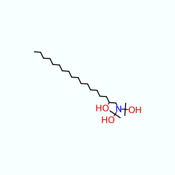 CCCCCCCCCCCCCCCCC(O)CN(C(C)(C)O)C(C)(C)O